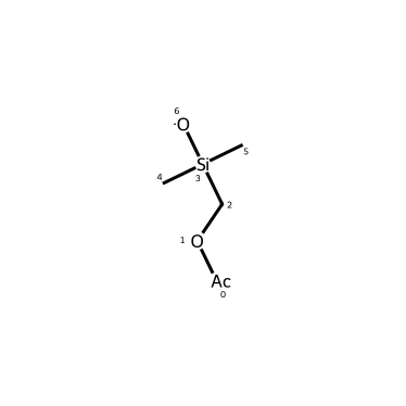 CC(=O)OC[Si](C)(C)[O]